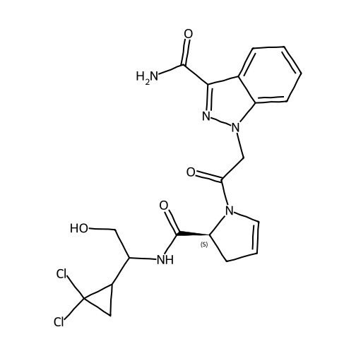 NC(=O)c1nn(CC(=O)N2C=CC[C@H]2C(=O)NC(CO)C2CC2(Cl)Cl)c2ccccc12